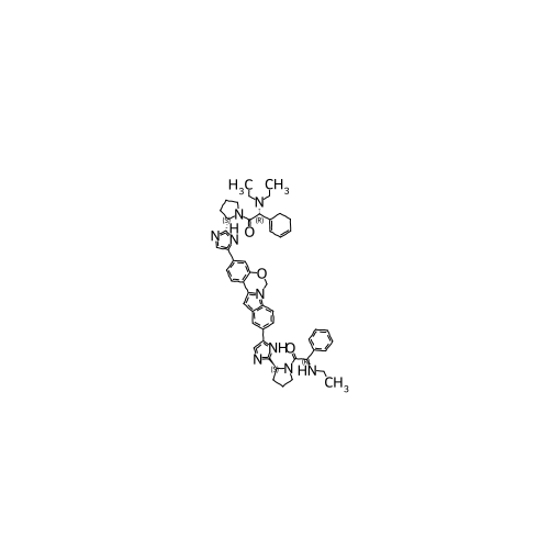 CCN[C@@H](C(=O)N1CCC[C@H]1c1ncc(-c2ccc3c(c2)cc2n3COc3cc(-c4cnc([C@@H]5CCCN5C(=O)[C@@H](C5=CC=CCC5)N(CC)CC)[nH]4)ccc3-2)[nH]1)c1ccccc1